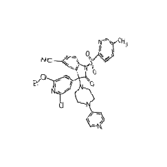 CCOc1cc(C2(N3CCN(c4ccncc4)CC3)C(=O)N(S(=O)(=O)c3ccc(C)cn3)c3ccc(C#N)cc32)cc(Cl)n1